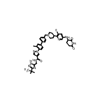 Cc1cc(-c2ccc(CN3CCC(c4ncc(NC5CCC(=O)NC5=O)cc4F)CC3)cc2)ccc1-n1cc(C(=O)NCc2nc(C(C)(C)C(F)(F)F)n[nH]2)cn1